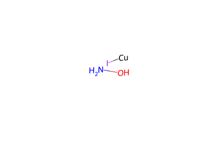 NO.[Cu][I]